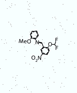 COc1ccccc1N=Cc1cc([N+](=O)[O-])ccc1OC(F)F